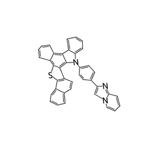 c1ccc2c(c1)ccc1c2sc2c3ccccc3c3c4ccccc4n(-c4ccc(-c5cn6ccccc6n5)cc4)c3c12